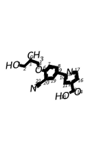 CC(CO)COc1ccc(-c2cc(C(=O)O)ccn2)cc1C#N